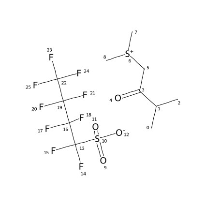 CC(C)C(=O)C[S+](C)C.O=S(=O)([O-])C(F)(F)C(F)(F)C(F)(F)C(F)(F)F